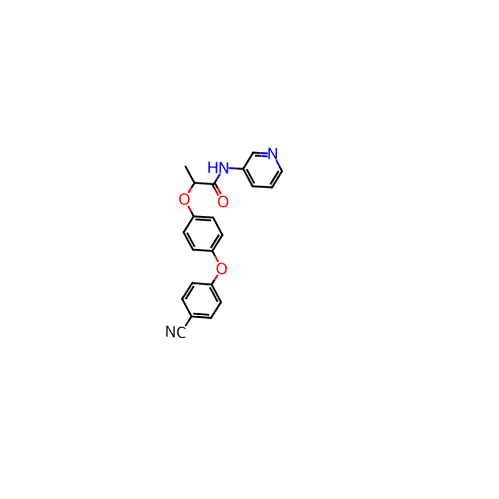 CC(Oc1ccc(Oc2ccc(C#N)cc2)cc1)C(=O)Nc1cccnc1